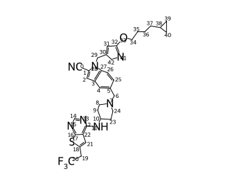 N#Cc1cc2cc(CN3CCC(Nc4ncnc5sc(CC(F)(F)F)cc45)CC3)ccc2n1CC1=CC(OCCCCC2CC2)=NC1